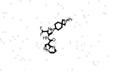 CC(C)N1CC2(CCC(n3cc(NC(=O)c4cnn5cccnc45)c(C(F)F)n3)CC2)C1